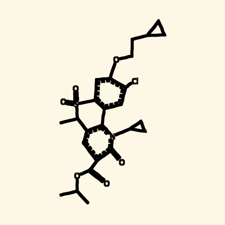 CC(C)OC(=O)c1cc2c(n(C3CC3)c1=O)-c1cc(Cl)c(OCCC3CC3)cc1S(=O)(=O)C2C